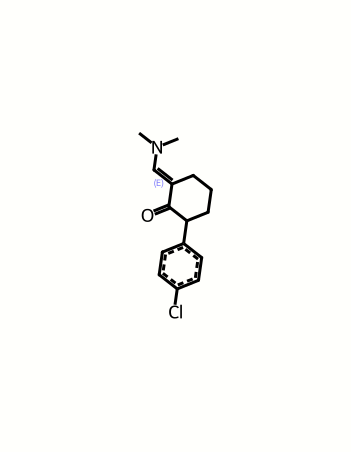 CN(C)/C=C1\CCCC(c2ccc(Cl)cc2)C1=O